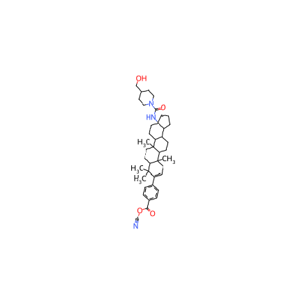 CC1(C)C(c2ccc(C(=O)OC#N)cc2)=CCC2(C)C1CCC1(C)C3CCC4(NC(=O)N5CCC(CO)CC5)CCCC4C3CCC12